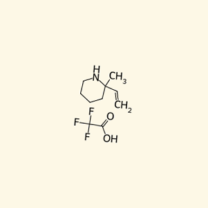 C=CC1(C)CCCCN1.O=C(O)C(F)(F)F